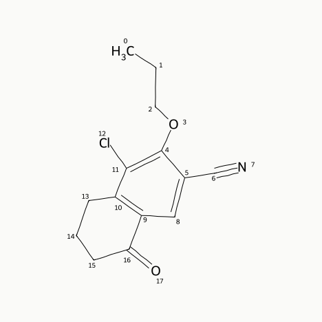 CCCOc1c(C#N)cc2c(c1Cl)CCCC2=O